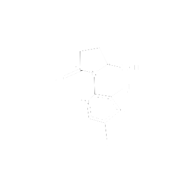 O=C(O)C1CCC(=O)N1c1ncc(C(F)(F)F)cc1Cl